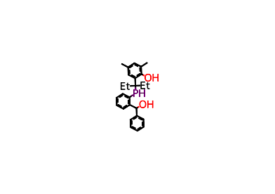 CCC(CC)(Pc1ccccc1C(O)c1ccccc1)c1cc(C)cc(C)c1O